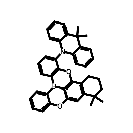 CC1(C)CCCc2c1cc1c3c2Oc2c(cccc2N2c4ccccc4C(C)(C)c4ccccc42)B3c2ccccc2O1